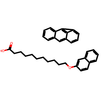 O=C(O)CCCCCCCCCCOc1ccc2ccccc2c1.c1ccc2c3c4c-3cccc4cc2c1